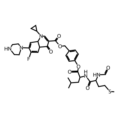 CSCCC(NC=O)C(=O)NC(CC(C)C)C(=O)Oc1ccc(COC(=O)C2=CN(C3CC3)C3C=C(N4CCNCC4)C(F)=CC3C2=O)cc1